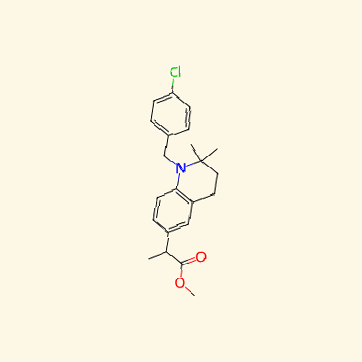 COC(=O)C(C)c1ccc2c(c1)CCC(C)(C)N2Cc1ccc(Cl)cc1